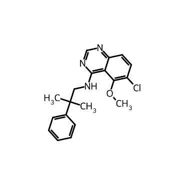 COc1c(Cl)ccc2ncnc(NCC(C)(C)c3ccccc3)c12